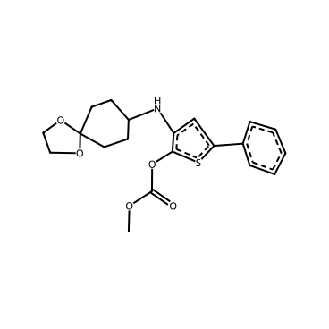 COC(=O)Oc1sc(-c2ccccc2)cc1NC1CCC2(CC1)OCCO2